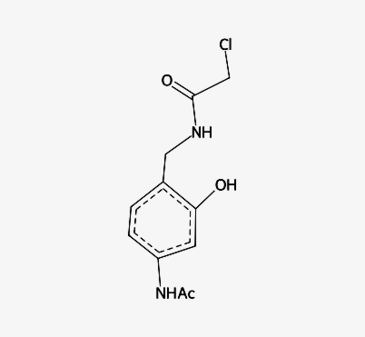 CC(=O)Nc1ccc(CNC(=O)CCl)c(O)c1